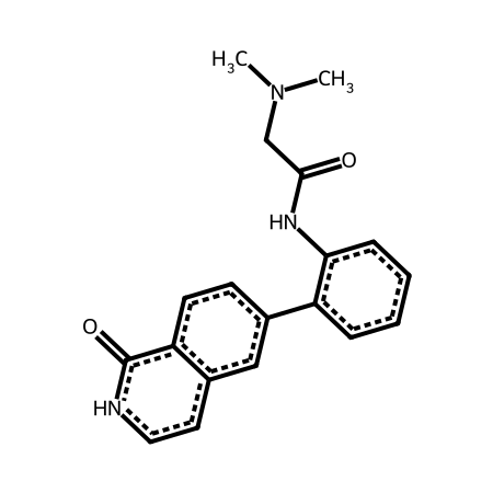 CN(C)CC(=O)Nc1ccccc1-c1ccc2c(=O)[nH]ccc2c1